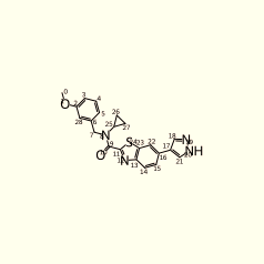 COc1cccc(CN(C(=O)c2nc3ccc(-c4cn[nH]c4)cc3s2)C2CC2)c1